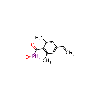 C=Cc1cc(C)c(C(=O)[PH2]=O)c(C)c1